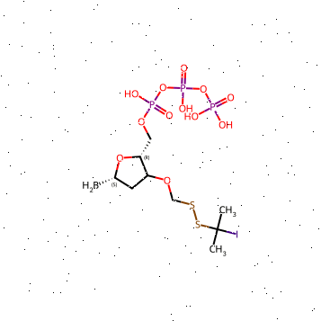 B[C@H]1CC(OCSSC(C)(C)I)[C@@H](COP(=O)(O)OP(=O)(O)OP(=O)(O)O)O1